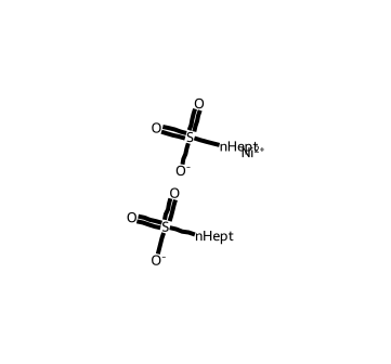 CCCCCCCS(=O)(=O)[O-].CCCCCCCS(=O)(=O)[O-].[Ni+2]